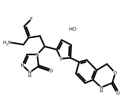 Cl.NC/C(=C/F)CC(c1ccc(-c2ccc3c(c2)COC(=O)N3)s1)n1cn[nH]c1=O